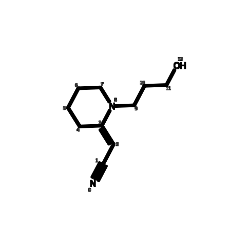 N#C/C=C1\CCCCN1CCCO